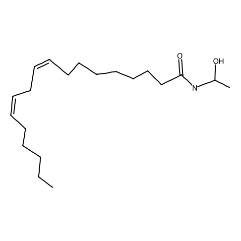 CCCCC/C=C\C/C=C\CCCCCCCC(=O)[N]C(C)O